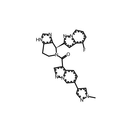 Cn1cc(-c2ccc3c(C(=O)N4CCc5[nH]cnc5[C@H]4c4cc5c(F)cccn5n4)cnn3c2)cn1